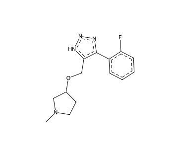 CN1CCC(OCc2[nH]nnc2-c2ccccc2F)C1